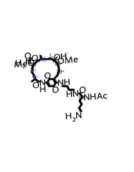 CO[C@H]1/C=C\C=C(/C)C(=O)NC2=CC(=O)C(NCCCCNC(=O)[C@H](CCCCN)NC(C)=O)=C(C[C@@H](C)C[C@H](OC)[C@H](O)[C@@H](C)/C=C(\C)[C@@H]1OC(N)=O)C2=O